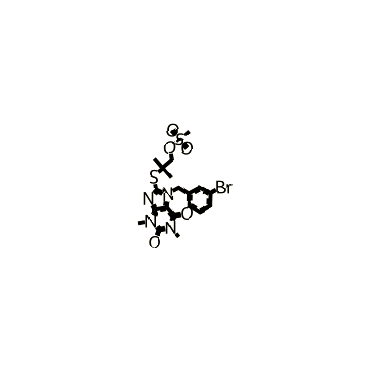 Cn1c(=O)c2c(nc(SC(C)(C)COS(C)(=O)=O)n2Cc2cccc(Br)c2)n(C)c1=O